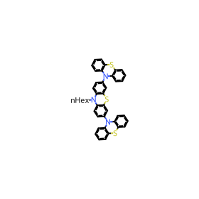 CCCCCCN1c2ccc(N3c4ccccc4Sc4ccccc43)cc2Sc2cc(N3c4ccccc4Sc4ccccc43)ccc21